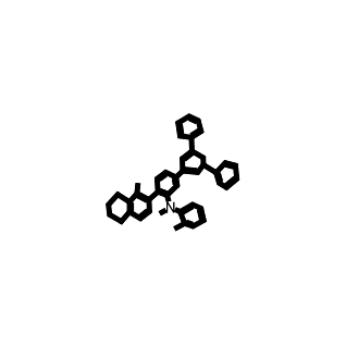 Cc1ccccc1N(C)c1cc(C2=CC(c3ccccc3)CC(c3ccccc3)=C2)ccc1-c1ccc2c(c1C)CCCC2